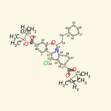 CC1(C)OB(c2ccc3c(c2)OC(CCc2ccccc2)n2c-3c(Cl)c3cc(B4OC(C)(C)C(C)(C)O4)ccc32)OC1(C)C